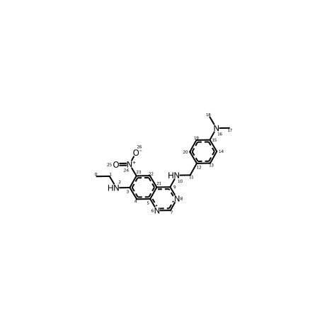 CCNc1cc2ncnc(NCc3ccc(N(C)C)cc3)c2cc1[N+](=O)[O-]